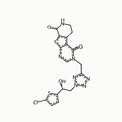 O=C1NCCc2c1sc1ncn(Cc3nnn(C[C@H](O)c4ccc(Cl)s4)n3)c(=O)c21